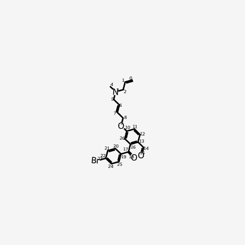 C=CCN(C)CC=CCOc1ccc(C=O)c(C(=O)c2ccc(Br)cc2)c1